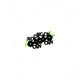 N#CC(C#N)=C1C(c2cc(F)c(F)cc2C#N)=C(C#N)c2c1cc1c(c2F)C(C#N)=C(c2cc(F)c(F)cc2C#N)C1=C(C#N)C#N